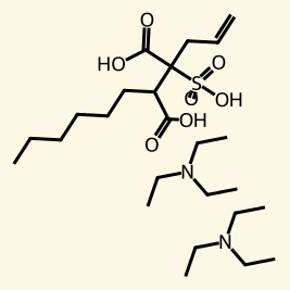 C=CCC(C(=O)O)(C(CCCCCC)C(=O)O)S(=O)(=O)O.CCN(CC)CC.CCN(CC)CC